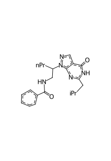 CCCC(CNC(=O)c1ccccc1)n1ncc2c(=O)[nH]c(CC(C)C)nc21